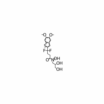 COc1cc2cc(C(F)(F)CCC(=O)N(O)CC(O)CO)sc2cc1OC